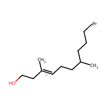 C/C(=C\CCC(C)CCCC(C)C)CCO